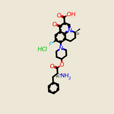 C[C@H]1CCc2c(N3CCC(OC(=O)[C@H](N)Cc4ccccc4)CC3)c(F)cc3c(=O)c(C(=O)O)cn1c23.Cl